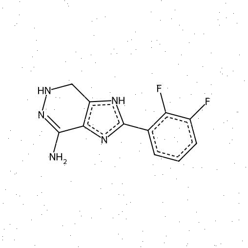 NC1=NNCc2[nH]c(-c3cccc(F)c3F)nc21